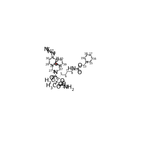 CC(C)(C)[C@](CCCCNC(=O)OCc1ccccc1)(OC(N)=O)C(=O)N(Cc1ccc(N=[N+]=[N-])cc1)Cc1cccs1